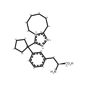 N[C@@H](Cc1cccc(C2(c3nnc4n3CCCCCC4)CCCC2)c1)C(=O)O